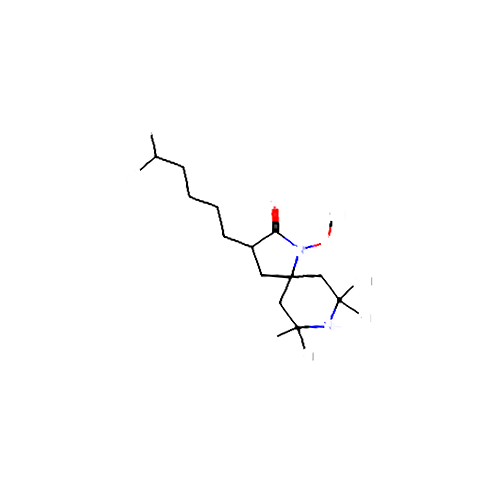 CON1C(=O)C(CCCCC(C)C)CC12CC(C)(C)NC(C)(C)C2